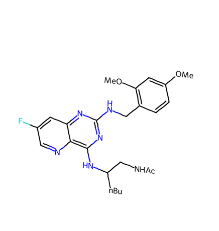 CCCCC(CNC(C)=O)Nc1nc(NCc2ccc(OC)cc2OC)nc2cc(F)cnc12